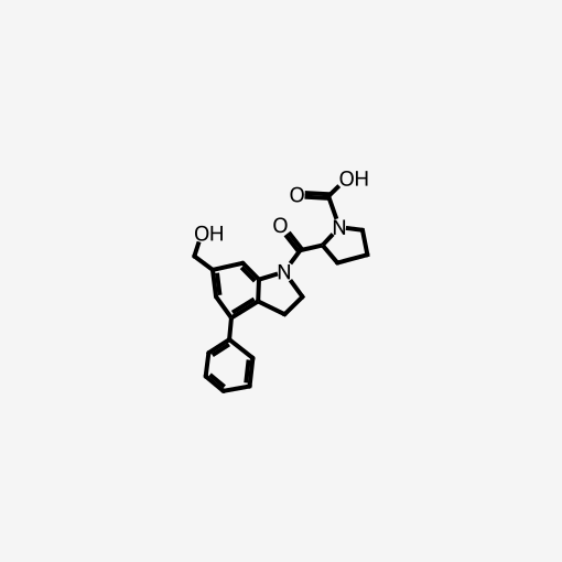 O=C(C1CCCN1C(=O)O)N1CCc2c(-c3ccccc3)cc(CO)cc21